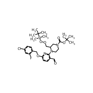 CC(C)(C)OC(=O)N1CCN(c2nc(OCc3ccc(Cl)cc3F)ccc2C=O)C(COO[Si](C)(C)C(C)(C)C)C1